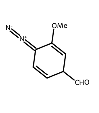 COC1=CC(C=O)C=CC1=[N+]=[N-]